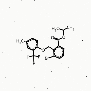 Cc1ccc(OCc2c(Br)cccc2C(=O)OC(C)C)c(C(F)(F)F)c1